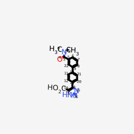 CN(C)C(=O)c1cccc(-c2ccc(-c3nn[nH]c3C(=O)O)cc2)c1